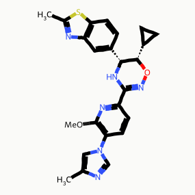 COc1nc(C2=NO[C@@H](C3CC3)[C@@H](c3ccc4sc(C)nc4c3)N2)ccc1-n1cnc(C)c1